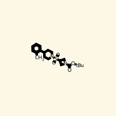 Cc1ccccc1C1CCN(S(=O)(=O)C2CN(C(=O)OC(C)(C)C)C2)CC1